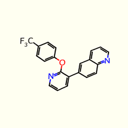 FC(F)(F)c1ccc(Oc2ncccc2-c2ccc3ncccc3c2)cc1